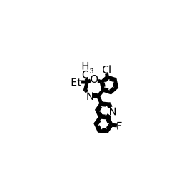 CCC1(C)CN=C(c2cnc3c(F)cccc3c2)c2cccc(Cl)c2O1